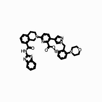 CC(C)(C)OC(=O)c1nc(N2CCc3cccc(C(=O)Nc4nc5ccccc5s4)c3C2)ccc1-c1cnn(Cc2ccccc2N2CCOCC2)c1